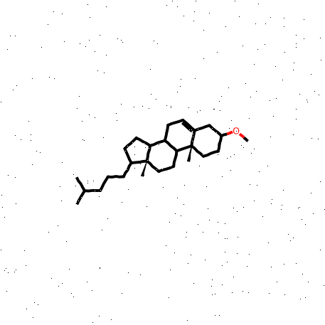 COC1CC[C@@]2(C)C(=CCC3C4CCC(CCCC(C)C)[C@@]4(C)CCC32)C1